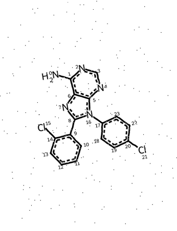 Nc1ncnc2c1nc(-c1ccccc1Cl)n2-c1ccc(Cl)cc1